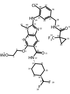 COCCOc1nc2c(cc1C(=O)N[C@H]1CC[C@H](C(F)F)CC1)nc(Nc1cc(CNC(=O)C3(C(F)(F)F)CC3)ccc1Cl)n2C